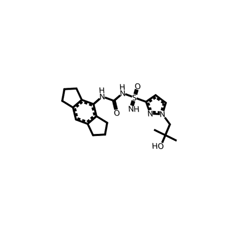 CC(C)(O)Cn1ccc(S(=N)(=O)NC(=O)Nc2c3c(cc4c2CCC4)CCC3)n1